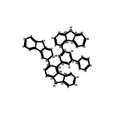 C1=c2sc3ccccc3c2=CC(c2ccc3oc4ccccc4c3c2-c2nc(-c3ccccc3)nc(-c3cccc4oc5ccccc5c34)n2)C1